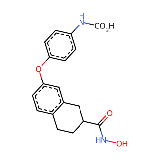 O=C(O)Nc1ccc(Oc2ccc3c(c2)CC(C(=O)NO)CC3)cc1